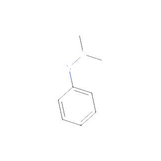 CB(C)Nc1ccccc1